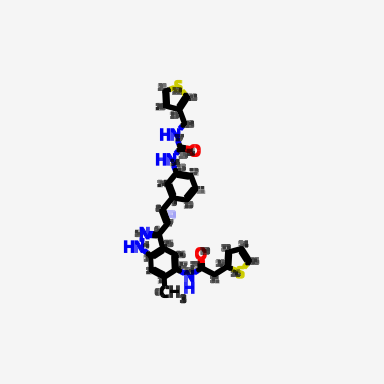 Cc1cc2[nH]nc(/C=C/c3cccc(NC(=O)NCc4ccsc4)c3)c2cc1NC(=O)Cc1cccs1